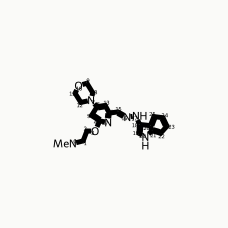 CNCCOc1cc(N2CCOCC2)cc(/C=N/Nc2c[nH]c3ccccc23)n1